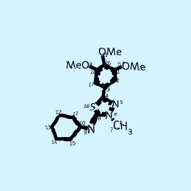 COc1cc(-c2nn(C)c(=NC3CCCCC3)s2)cc(OC)c1OC